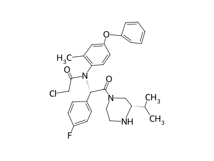 Cc1cc(Oc2ccccc2)ccc1N(C(=O)CCl)[C@H](C(=O)N1CCN[C@@H](C(C)C)C1)c1ccc(F)cc1